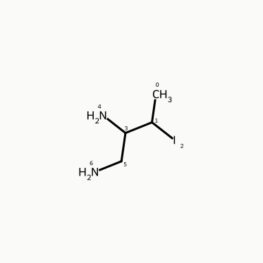 CC(I)C(N)CN